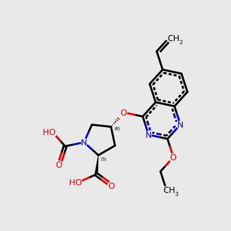 C=Cc1ccc2nc(OCC)nc(O[C@@H]3C[C@@H](C(=O)O)N(C(=O)O)C3)c2c1